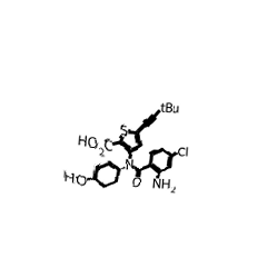 CC(C)(C)C#Cc1cc(N(C(=O)c2ccc(Cl)cc2N)[C@H]2CC[C@H](O)CC2)c(C(=O)O)s1